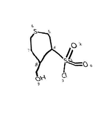 O=S(=O)(Cl)C1CSCC1O